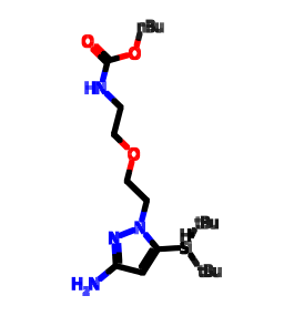 CCCCOC(=O)NCCOCCn1nc(N)cc1[SiH](C(C)(C)C)C(C)(C)C